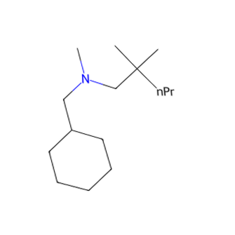 CCCC(C)(C)CN(C)CC1CCCCC1